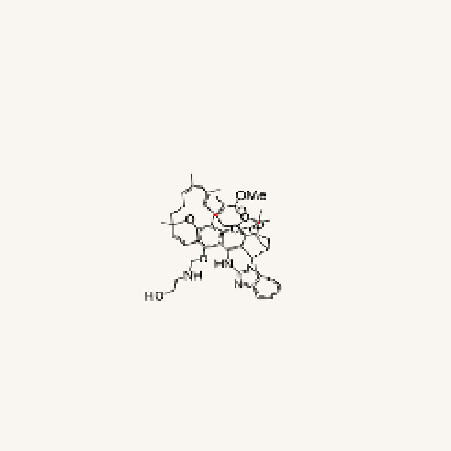 COC(=O)/C(C)=C\CC12OC(C)(C)C3CC(C1=O)C1C4=C(Nc5nc6ccccc6n51)c1c(OCNCCO)c5c(c(CC=C(C)C)c1OC432)OC(C)(CCC=C(C)C)C=C5